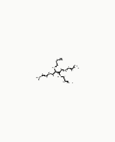 CCCSCC(SCCC)C(CSCCC)SCCC